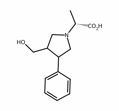 C[C@H](C(=O)O)N1CC(CO)C(c2ccccc2)C1